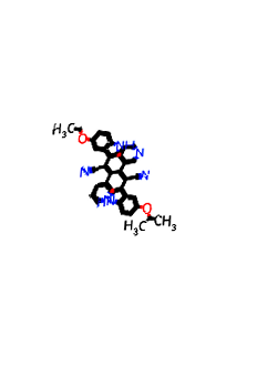 CCOc1ccc2[nH]cc(/C(C#N)=C(\C(=C(\C#N)c3c[nH]c4ccc(OC(C)C)cc34)c3cccnc3)c3cccnc3)c2c1